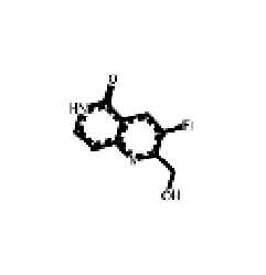 CCc1cc2c(=O)[nH]ccc2nc1CO